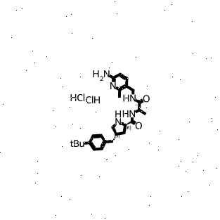 Cc1nc(N)ccc1CNC(=O)C(C)NC(=O)[C@H]1C[C@H](Cc2ccc(C(C)(C)C)cc2)CN1.Cl.Cl